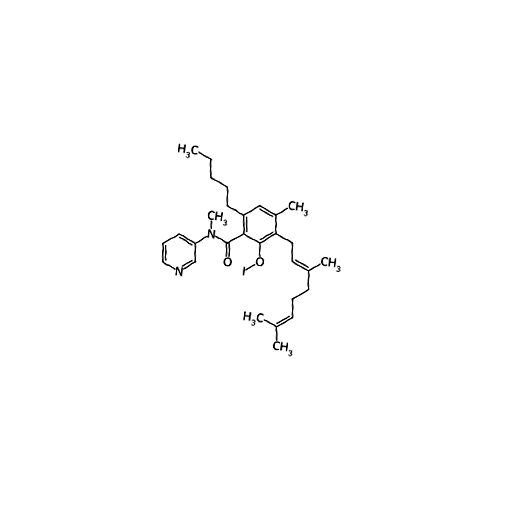 CCCCCc1cc(C)c(C/C=C(\C)CCC=C(C)C)c(OI)c1C(=O)N(C)c1cccnc1